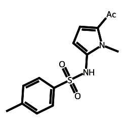 CC(=O)c1ccc(NS(=O)(=O)c2ccc(C)cc2)n1C